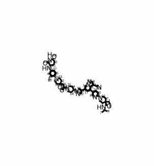 CCC1(C(=O)NC(C)C)CCN(c2ccc(-c3cc(-c4cnn(C5CCN(C(=O)CC6(O)CCN(c7ccc(NC8CCC(=O)NC8=O)cc7F)CC6)CC5)c4)cn4ncc(C#N)c34)cn2)CC1